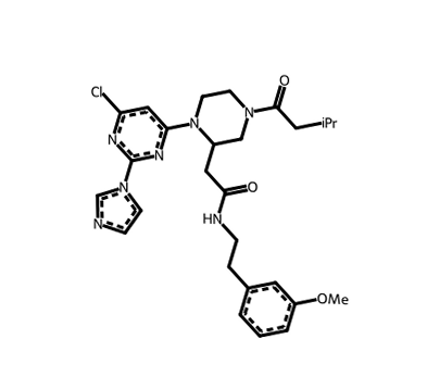 COc1cccc(CCNC(=O)CC2CN(C(=O)CC(C)C)CCN2c2cc(Cl)nc(-n3ccnc3)n2)c1